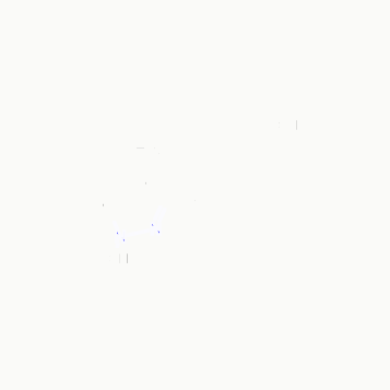 CCc1cccc(/C(C)=N/N(C)C)c1CC